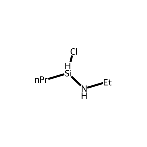 CCC[SiH](Cl)NCC